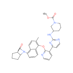 Cc1ccc2c(N3C(=O)C4CCCC43)cccc2c1Oc1ncccc1-c1ccnc(NC2CCCN(C(=O)OC(C)(C)C)C2)n1